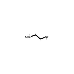 [C-]#[N+]CCC=O